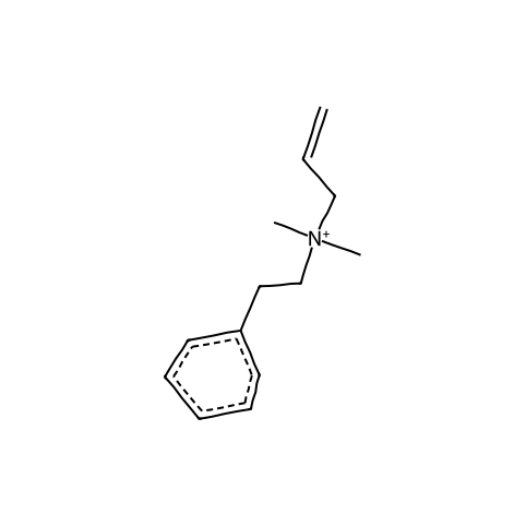 C=CC[N+](C)(C)CCc1ccccc1